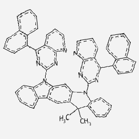 CC1(C)c2ccccc2N(c2nc(-c3cccc4ccccc34)c3cccnc3n2)c2cc3c(cc21)c1ccccc1n3-c1nc(-c2cccc3ccccc23)c2cccnc2n1